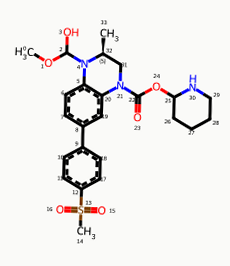 COC(O)N1c2ccc(-c3ccc(S(C)(=O)=O)cc3)cc2N(C(=O)OC2CCCCN2)C[C@@H]1C